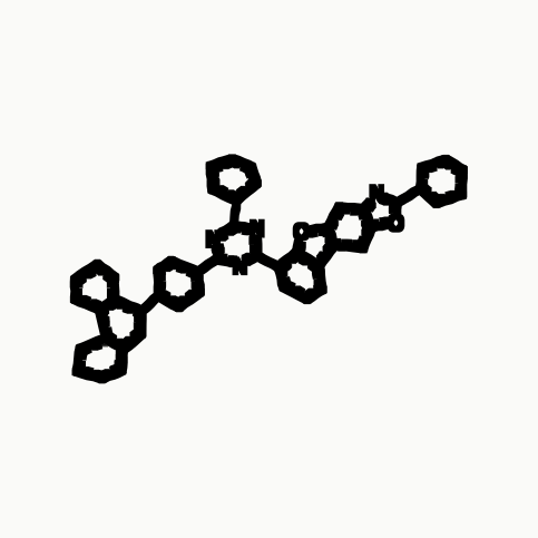 c1ccc(-c2nc(-c3ccc(-c4cc5ccccc5c5ccccc45)cc3)nc(-c3cccc4c3oc3cc5nc(-c6ccccc6)oc5cc34)n2)cc1